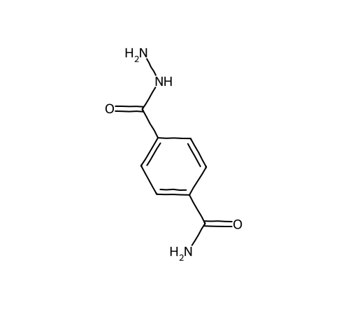 NNC(=O)c1ccc(C(N)=O)cc1